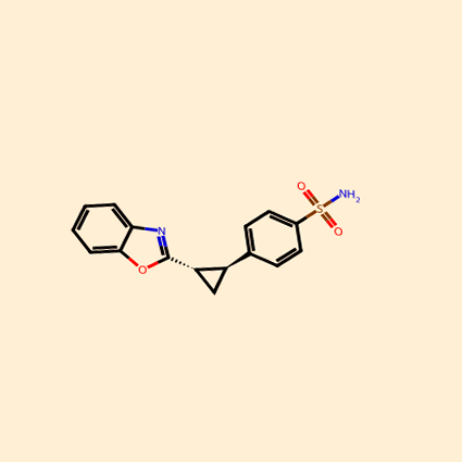 NS(=O)(=O)c1ccc([C@H]2C[C@@H]2c2nc3ccccc3o2)cc1